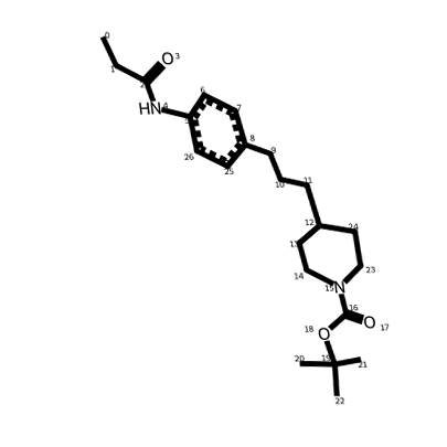 CCC(=O)Nc1ccc(CCCC2CCN(C(=O)OC(C)(C)C)CC2)cc1